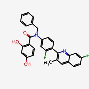 Cc1cc2ccc(F)cc2nc1-c1ccc(N(Cc2ccccc2)C(=O)c2ccc(O)cc2O)cc1F